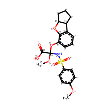 COc1ccc(S(=O)(=O)NC(OC)(Oc2cccc3c2OC2CCCC32)C(=O)O)cc1